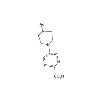 CC(=O)N1CCN(c2ccc(C(=O)O)nc2)CC1